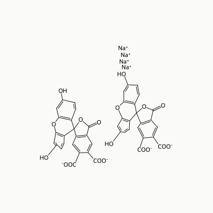 O=C([O-])c1cc2c(cc1C(=O)[O-])C1(OC2=O)c2ccc(O)cc2Oc2cc(O)ccc21.O=C([O-])c1cc2c(cc1C(=O)[O-])C1(OC2=O)c2ccc(O)cc2Oc2cc(O)ccc21.[Na+].[Na+].[Na+].[Na+]